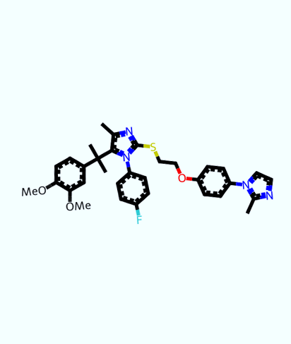 COc1ccc(C(C)(C)c2c(C)nc(SCCOc3ccc(-n4ccnc4C)cc3)n2-c2ccc(F)cc2)cc1OC